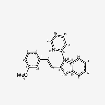 COc1cccc(C=Cc2nc3ccccc3n2-c2ccccn2)c1